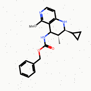 COc1nccc2c1C(NC(=O)OCc1ccccc1)[C@@H](C)[C@H](C1CC1)N2